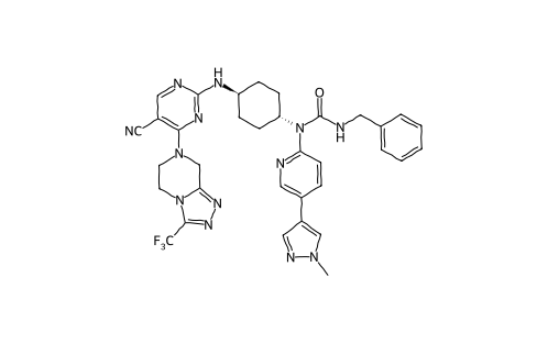 Cn1cc(-c2ccc(N(C(=O)NCc3ccccc3)[C@H]3CC[C@H](Nc4ncc(C#N)c(N5CCn6c(nnc6C(F)(F)F)C5)n4)CC3)nc2)cn1